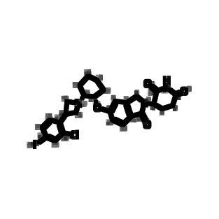 O=C1CCC(N2Cc3cc(O[C@H]4CCCC[C@H]4N4CC(c5ccc(F)cc5Cl)C4)ccc3C2=O)C(=O)N1